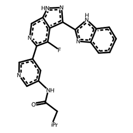 CC(C)CC(=O)Nc1cncc(-c2ncc3[nH]nc(-c4nc5ccccc5[nH]4)c3c2F)c1